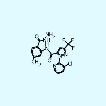 Cc1ccc(C(=O)NN)c(NC(=O)c2cc(C(F)(F)F)nn2-c2ncccc2Cl)c1